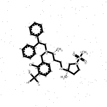 C[C@H](CCO[C@]1(N)CCN(S(C)(=O)=O)C1)N(Cc1cccc(C(F)(F)F)c1Cl)CC(c1ccccc1)c1ccccc1